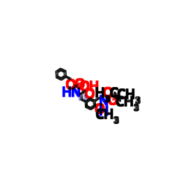 COc1ccc(/C=C(/NC(=O)OCc2ccccc2)C(=O)O)cc1CNC(=O)OC(C)(C)C